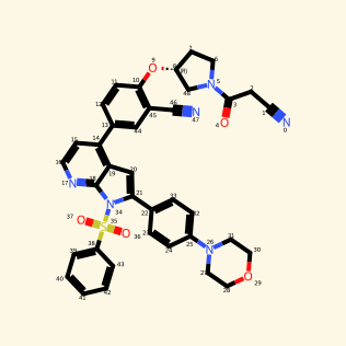 N#CCC(=O)N1CC[C@@H](Oc2ccc(-c3ccnc4c3cc(-c3ccc(N5CCOCC5)cc3)n4S(=O)(=O)c3ccccc3)cc2C#N)C1